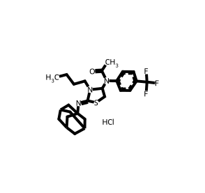 CCCCN1C(=NC23CC4CC(CC(C4)C2)C3)SCC1N(C(C)=O)c1ccc(C(F)(F)F)cc1.Cl